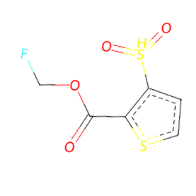 O=C(OCF)c1sccc1[SH](=O)=O